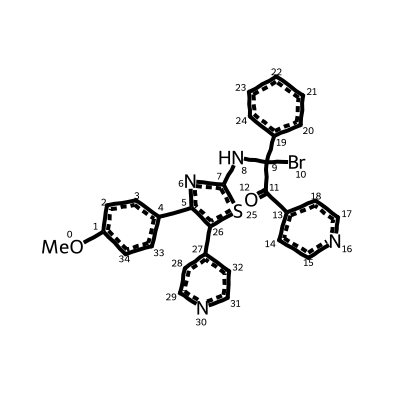 COc1ccc(-c2nc(NC(Br)(C(=O)c3ccncc3)c3ccccc3)sc2-c2ccncc2)cc1